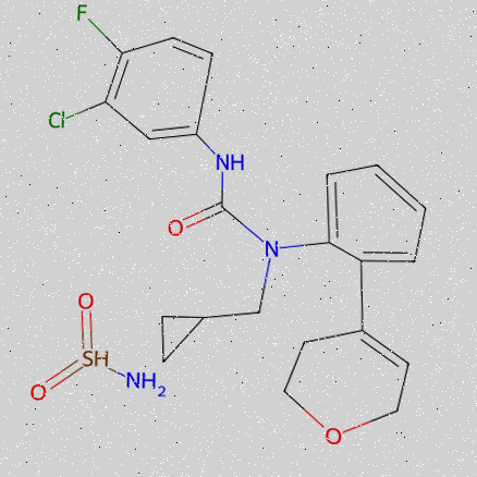 N[SH](=O)=O.O=C(Nc1ccc(F)c(Cl)c1)N(CC1CC1)c1ccccc1C1=CCOCC1